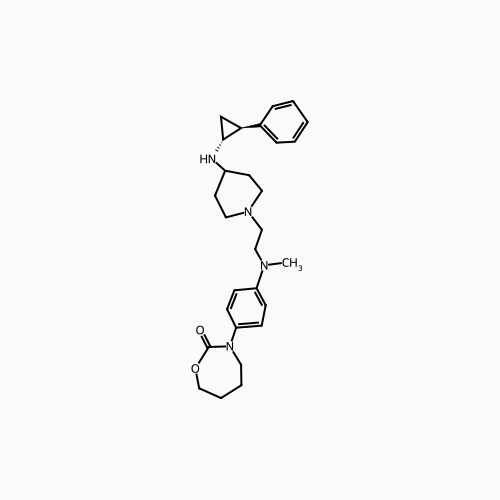 CN(CCN1CCC(N[C@@H]2C[C@H]2c2ccccc2)CC1)c1ccc(N2CCCCOC2=O)cc1